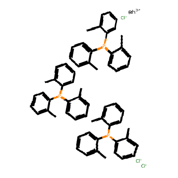 Cc1ccccc1P(c1ccccc1C)c1ccccc1C.Cc1ccccc1P(c1ccccc1C)c1ccccc1C.Cc1ccccc1P(c1ccccc1C)c1ccccc1C.[Cl-].[Cl-].[Cl-].[Rh+3]